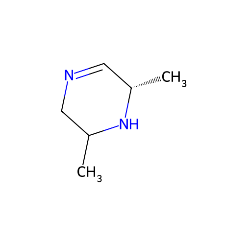 CC1CN=C[C@H](C)N1